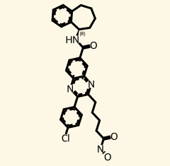 O=NC(=O)CCCCc1nc2cc(C(=O)N[C@@H]3CCCCc4ccccc43)ccc2nc1-c1ccc(Cl)cc1